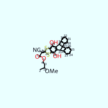 COC(C)CCOC(=O)C(C#N)=C1Sc2c(O)c3c(c(O)c2S1)C1c2ccccc2C12c1ccccc1C32